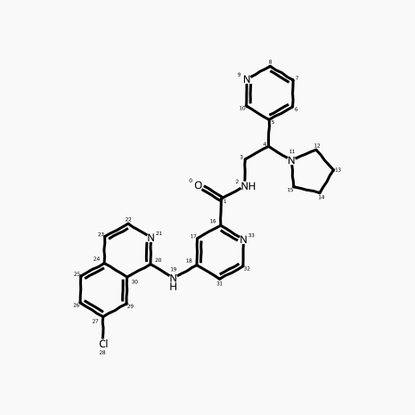 O=C(NCC(c1cccnc1)N1CCCC1)c1cc(Nc2nccc3ccc(Cl)cc23)ccn1